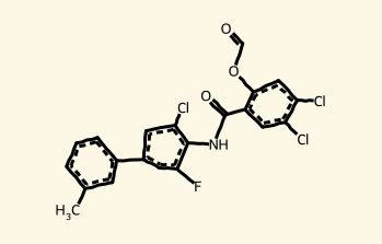 Cc1cccc(-c2cc(F)c(NC(=O)c3cc(Cl)c(Cl)cc3OC=O)c(Cl)c2)c1